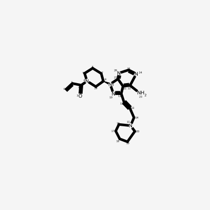 C=CC(=O)N1CCC[C@@H](n2nc(C#CCN3CCCCC3)c3c(N)ncnc32)C1